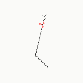 CCCCCCCC/C=C\CCCCCCCCCCCCOC(=O)OCCC(C)C